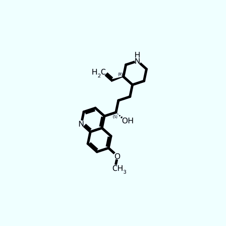 C=C[C@H]1CNCCC1CC[C@H](O)c1ccnc2ccc(OC)cc12